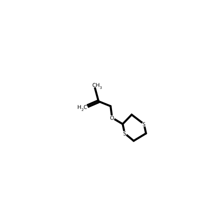 C=C(C)COC1CSCCS1